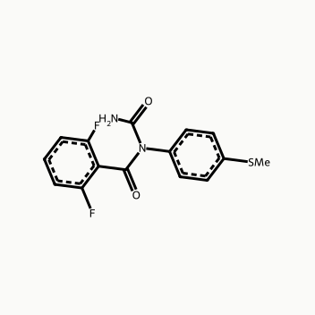 CSc1ccc(N(C(N)=O)C(=O)c2c(F)cccc2F)cc1